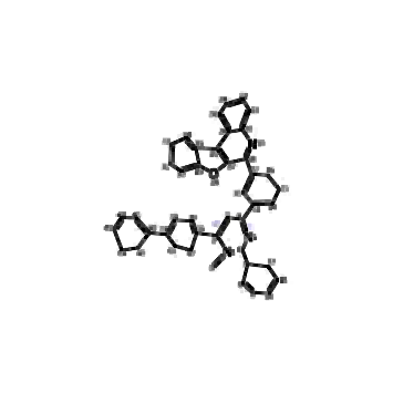 C=N/C(=C\C(=N/CC1C=CC=CC1)C1=CCCC(c2nc3ccccc3c3c2oc2ccccc23)=C1)C1=CC=C(C2=CC=CCC2)CC1